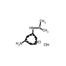 CN(C)Nc1cccc(N)c1.Cl.Cl